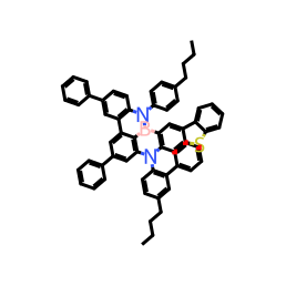 CCCCc1ccc(N2B3c4cc5c(cc4N(c4ccc(CCCC)cc4-c4ccccc4)c4cc(-c6ccccc6)cc(c43)-c3cc(-c4ccccc4)ccc32)sc2ccccc25)cc1